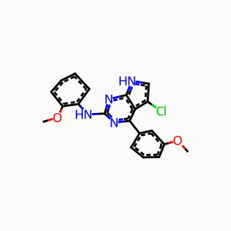 COc1cccc(-c2nc(Nc3ccccc3OC)nc3[nH]cc(Cl)c23)c1